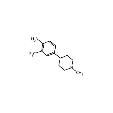 CN1CCC(c2ccc(N)c(C(F)(F)F)c2)CC1